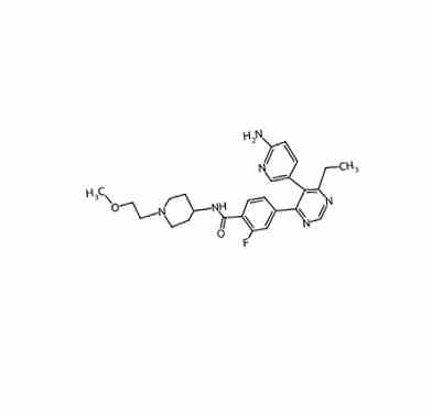 CCc1ncnc(-c2ccc(C(=O)NC3CCN(CCOC)CC3)c(F)c2)c1-c1ccc(N)nc1